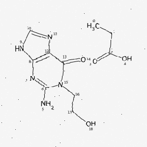 CCC(=O)O.Nc1nc2[nH]cnc2c(=O)n1CCO